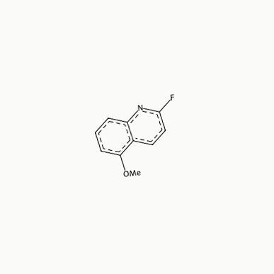 COc1cccc2nc(F)ccc12